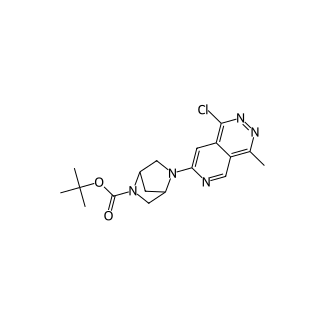 Cc1nnc(Cl)c2cc(N3CC4CC3CN4C(=O)OC(C)(C)C)ncc12